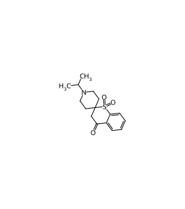 CC(C)N1CCC2(CC1)CC(=O)c1ccccc1S2(=O)=O